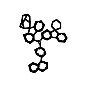 c1ccc2c(c1)-c1cc(N(c3ccc(-c4cccc5ccccc45)cc3)c3cccc4c3-c3ccccc3C43C4CC5CC(C4)CC3C5)ccc1C21CCCCC1